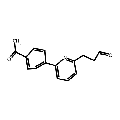 CC(=O)c1ccc(-c2cccc(CCC=O)n2)cc1